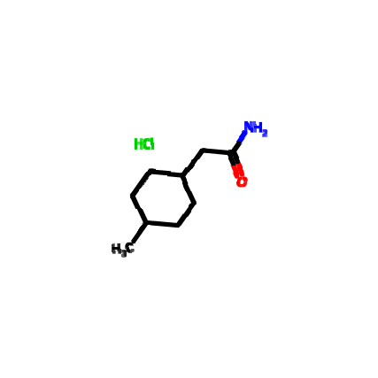 CC1CCC(CC(N)=O)CC1.Cl